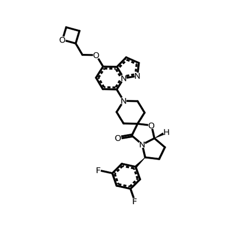 O=C1N2[C@@H](CC[C@H]2c2cc(F)cc(F)c2)OC12CCN(c1ccc(OCC3CCO3)c3ccnn13)CC2